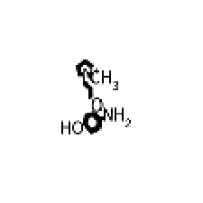 C[N+]1(CCCOc2cc(O)ccc2N)CCCC1